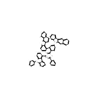 c1ccc(-c2nc(-c3ccc(-n4c5ccccc5c5cc6ccccc6cc54)cc3-c3cccc4oc5c6ccccc6ccc5c34)nc(-c3cccc4c3c3ccccc3n4-c3ccccc3)n2)cc1